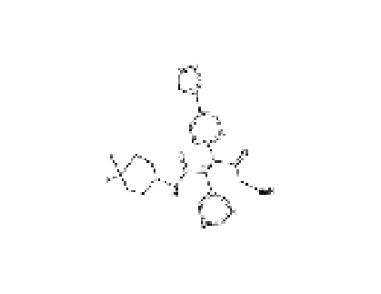 N#CCC(=O)N(c1ccc(-c2cncs2)cc1)[C@H](C(=O)NC1CCC(F)(F)CC1)c1cncnc1